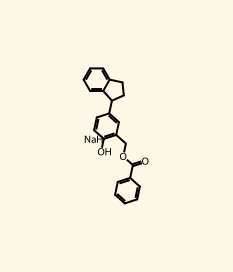 O=C(OCc1cc(C2CCc3ccccc32)ccc1O)c1ccccc1.[NaH]